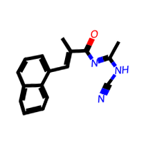 C/C(=C\c1cccc2ccccc12)C(=O)/N=C(\C)NC#N